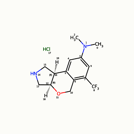 CN(C)c1cc2c(c(C(F)(F)F)c1)CO[C@H]1CNC[C@@H]21.Cl